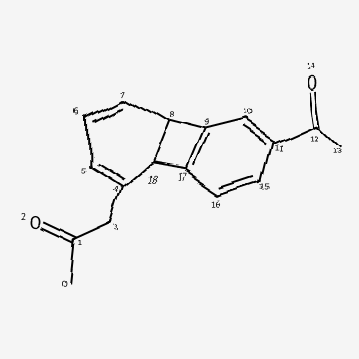 CC(=O)CC1=CC=CC2c3cc(C(C)=O)ccc3C12